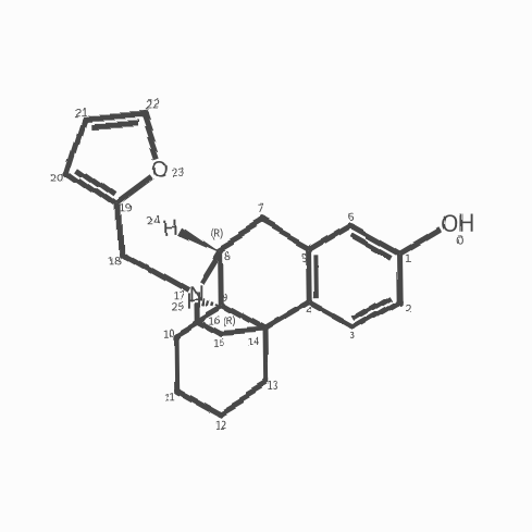 Oc1ccc2c(c1)C[C@@H]1[C@@H]3CCCCC23CCN1Cc1ccco1